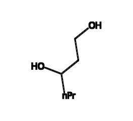 [CH2]CCC(O)CCO